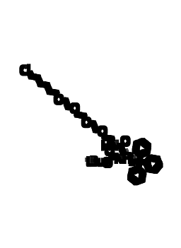 CC(C)(C)OC(=O)N[C@@H](CSC(c1ccccc1)(c1ccccc1)c1ccccc1)C(=O)NCCOCCOCCOCCOCCCCCCCl